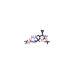 CC(C)(CCNC(=O)OC(C)(C)C)CC(CN)[C@H](NC(=O)OC(C)(C)C)C1CC1